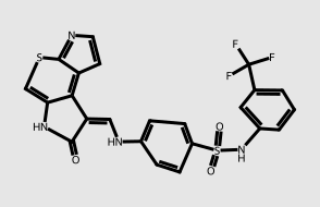 O=c1[nH]c2csc3nccc3c2c1=CNc1ccc(S(=O)(=O)Nc2cccc(C(F)(F)F)c2)cc1